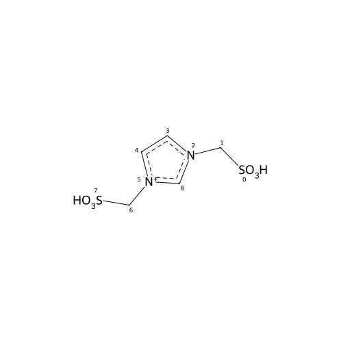 O=S(=O)(O)Cn1cc[n+](CS(=O)(=O)O)c1